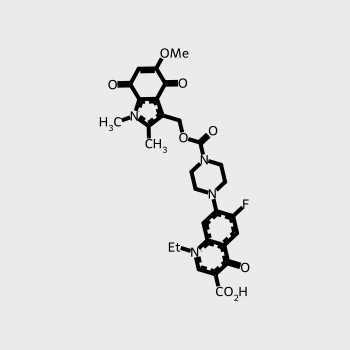 CCn1cc(C(=O)O)c(=O)c2cc(F)c(N3CCN(C(=O)OCc4c5c(n(C)c4C)C(=O)C=C(OC)C5=O)CC3)cc21